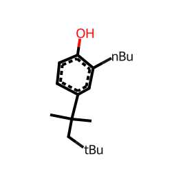 CCCCc1cc(C(C)(C)CC(C)(C)C)ccc1O